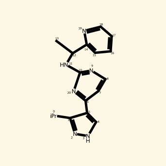 CC(C)c1n[nH]cc1-c1ccnc(NC(C)c2ccccn2)n1